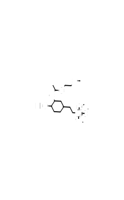 COCCOC(C)OC1CC(CC[Si](OC)(OC)OC)CCC1O